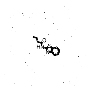 CCCC(=O)Nc1nc2ccccc2s1